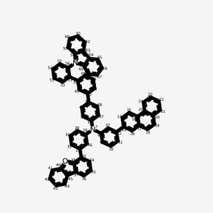 c1cc(-c2ccc(N(c3cccc(-c4ccc5c(ccc6ccccc65)c4)c3)c3cccc(-c4cccc5c4oc4ccccc45)c3)cc2)cc(-c2ccccc2-n2c3ccccc3c3ccccc32)c1